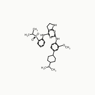 COc1cc(C2CCC(N(C)C)CC2)ccc1Nc1nc2c(c(Nc3ccccc3S(=O)(=O)C(C)C)n1)CCN2